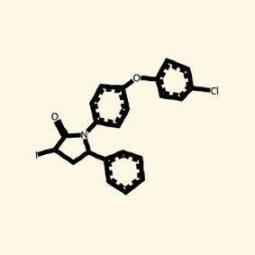 O=C1C(I)CC(c2ccccc2)N1c1ccc(Oc2ccc(Cl)cc2)cc1